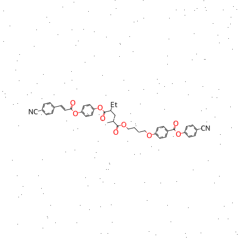 CCC(CC(C)C(=O)OCCCCOc1ccc(C(=O)Oc2ccc(C#N)cc2)cc1)C(=O)Oc1ccc(OC(=O)/C=C/c2ccc(C#N)cc2)cc1